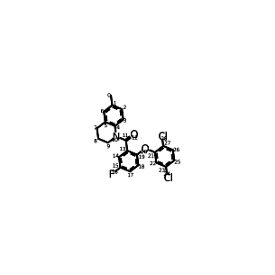 Cc1ccc2c(c1)CCCN2C(=O)c1cc(F)ccc1Oc1cc(Cl)ccc1Cl